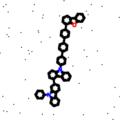 c1ccc(-n2c3ccccc3c3ccc(-c4cccc5c4c4ccccc4n5-c4ccc(-c5ccc(-c6ccc(-c7cccc8c7oc7ccccc78)cc6)cc5)cc4)cc32)cc1